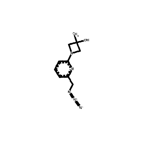 CC1(O)CN(c2cccc(CN=[N+]=[N-])n2)C1